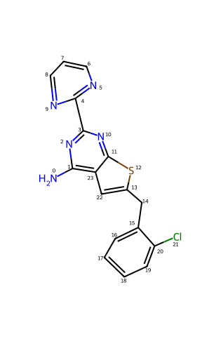 Nc1nc(-c2ncccn2)nc2sc(Cc3ccccc3Cl)cc12